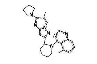 Cc1cn2nc(C3CCCCN3c3ncnc4cccc(C)c34)cc2nc1N1CCCC1